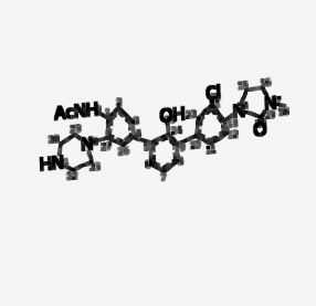 CC(=O)Nc1ccc(-c2cccc(-c3ccc(N4CCN(C)C4=O)c(Cl)c3)c2O)cc1N1CCNCC1